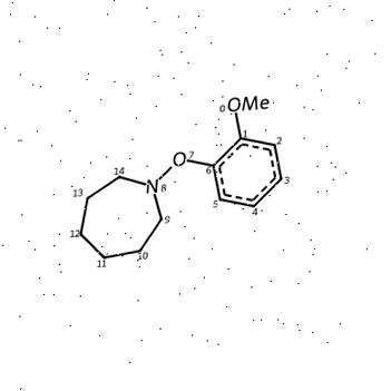 COc1ccccc1ON1CCCCCC1